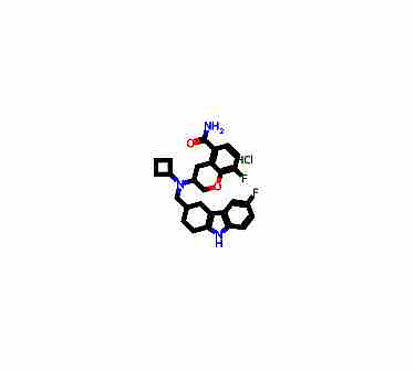 Cl.NC(=O)c1ccc(F)c2c1CC(N(CC1CCc3[nH]c4ccc(F)cc4c3C1)C1CCC1)CO2